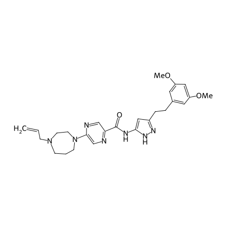 C=CCN1CCCN(c2cnc(C(=O)Nc3cc(CCc4cc(OC)cc(OC)c4)n[nH]3)cn2)CC1